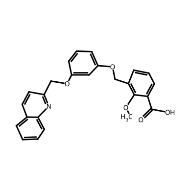 COc1c(COc2cccc(OCc3ccc4ccccc4n3)c2)cccc1C(=O)O